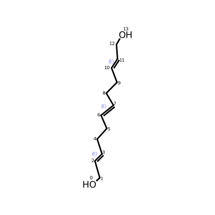 OC/C=C/CC/C=C/CC/C=C/CO